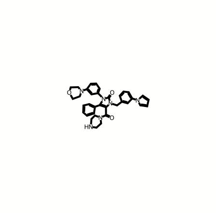 O=C(c1c(-c2ccccc2)n(-c2cccc(N3CCOCC3)c2)c(=O)n1Cc1cccc(-n2cccc2)c1)N1CCNCC1